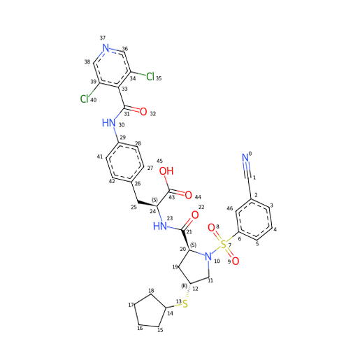 N#Cc1cccc(S(=O)(=O)N2C[C@H](SC3CCCC3)C[C@H]2C(=O)N[C@@H](Cc2ccc(NC(=O)c3c(Cl)cncc3Cl)cc2)C(=O)O)c1